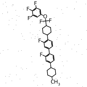 CC1CCC(c2ccc(-c3ccc(C4CCC(C(F)(F)Oc5cc(F)c(F)c(F)c5)CC4)c(F)c3)c(F)c2)CC1